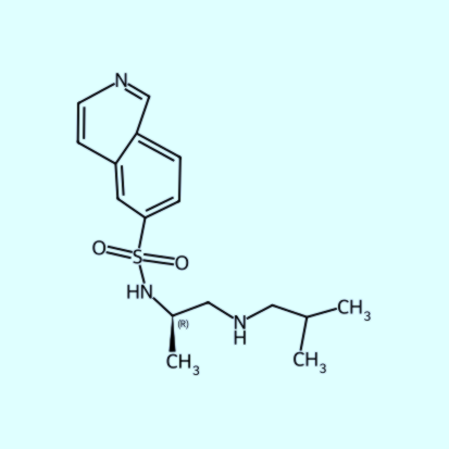 CC(C)CNC[C@@H](C)NS(=O)(=O)c1ccc2cnccc2c1